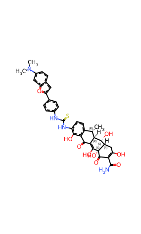 C[C@H]1c2ccc(NC(=S)Nc3ccc(-c4cc5ccc(N(C)C)cc5o4)cc3)c(O)c2C(=O)C2=C(O)[C@]3(O)C(=O)C(C(N)=O)=C(O)C[C@@H]3[C@@H](O)[C@@H]21